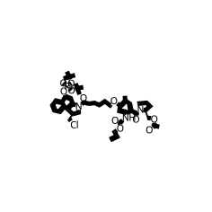 C=CCOC(=O)Nc1cc(OCCCCCC(=O)N2C[C@@H](CCl)c3c2cc(OP(=O)(OC(C)(C)C)OC(C)(C)C)c2ccccc32)c(C)cc1C(=O)N1CCC[C@H]1COC(C)=O